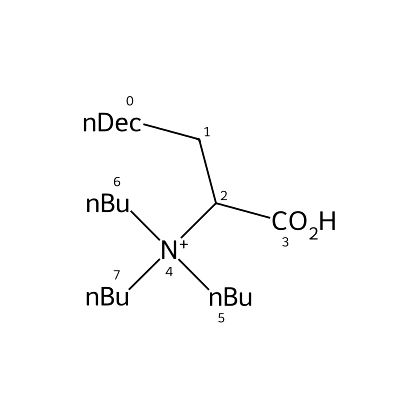 CCCCCCCCCCCC(C(=O)O)[N+](CCCC)(CCCC)CCCC